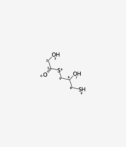 O=C(CO)SCC(O)CS